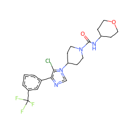 O=C(NC1CCOCC1)N1CCC(n2cnc(-c3cccc(C(F)(F)F)c3)c2Cl)CC1